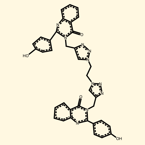 O=c1c2ccccc2nc(-c2ccc(O)cc2)n1Cc1cn(CCn2cc(Cn3c(-c4ccc(O)cc4)nc4ccccc4c3=O)nn2)nn1